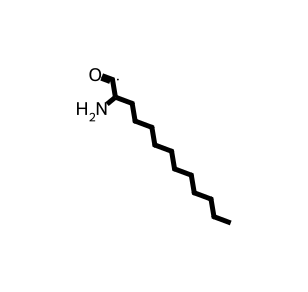 CCCCCCCCCCCC(N)[C]=O